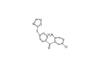 Nc1ccc(Cl)cc1C(=O)c1ccc(Sc2nccs2)cc1